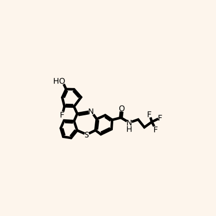 O=C(NCCC(F)(F)F)c1ccc2c(c1)N=C(c1ccc(O)cc1F)c1ccccc1S2